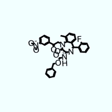 Cc1cccc2c1N(CC(=O)c1cccc([N+](=O)[O-])c1)C(=O)[C@@H](NC(=O)OCc1ccccc1)N=C2c1ccccc1F